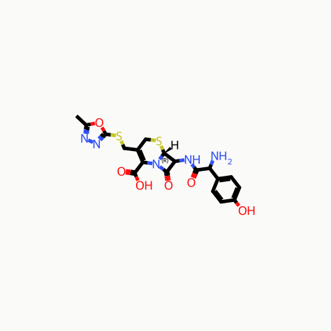 Cc1nnc(SCC2=C(C(=O)O)N3C(=O)C(NC(=O)C(N)c4ccc(O)cc4)[C@H]3SC2)o1